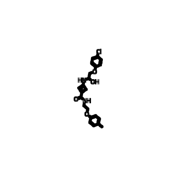 Cc1ccc(OCCNC(=O)C23CC(NC(O)COc4ccc(Cl)cc4)(C2)C3)cc1